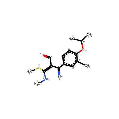 CN/C(SC)=C(/C=O)C(=N)c1ccc(OC(C)C)c(C)c1